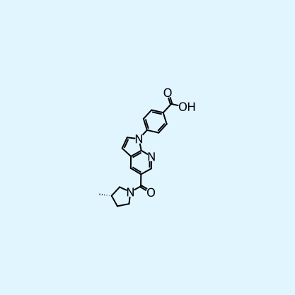 C[C@H]1CCN(C(=O)c2cnc3c(ccn3-c3ccc(C(=O)O)cc3)c2)C1